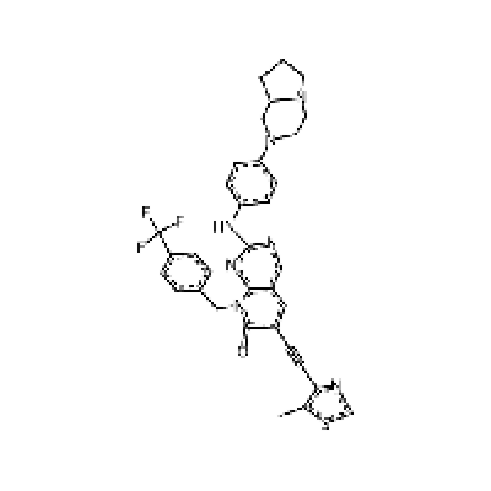 Cc1scnc1C#Cc1cc2cnc(Nc3ccc(N4CCN5CCCC5C4)cc3)nc2n(Cc2ccc(C(F)(F)F)cc2)c1=O